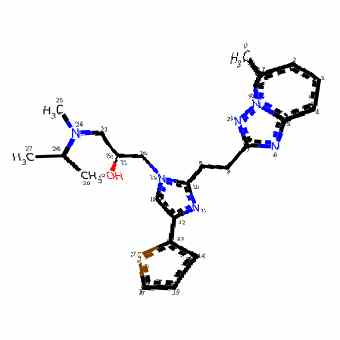 Cc1cccc2nc(CCc3nc(-c4cccs4)cn3C[C@@H](O)CN(C)C(C)C)nn12